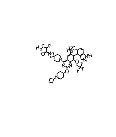 C=C(F)C(=O)N1CC2(CCN(c3nc(OC4CCN(C5CCC5)CC4)nc4c(OCC(F)(F)F)c(-c5c(C)ccc6[nH]ncc56)c(C5CC5)cc34)CC2)C1